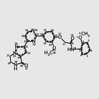 COc1ccccc1NC(=O)COc1ccc(-c2nccc(-c3cc4n(n3)CCNC4=O)n2)cc1OC